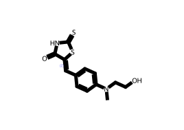 CN(CCO)c1ccc(/C=C2\SC(=S)NC2=O)cc1